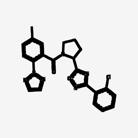 Cc1ccc(-n2nccn2)c(C(=O)N2CCCC2c2nc(-c3ccccc3Cl)no2)c1